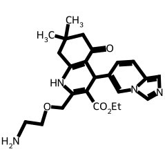 CCOC(=O)C1=C(COCCN)NC2=C(C(=O)CC(C)(C)C2)C1c1ccc2cncn2c1